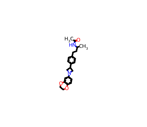 CC(=O)NC(C)CCc1ccc(C2CN(c3ccc4c(c3)OCCO4)C2)cc1